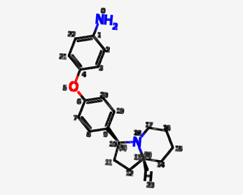 Nc1ccc(Oc2ccc([C@@H]3CC[C@H]4CCCCN43)cc2)cc1